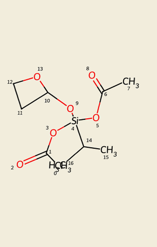 CC(=O)O[Si](OC(C)=O)(OC1CCO1)C(C)C